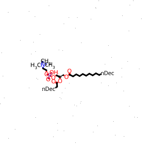 CCCCCCCCCCCCCCCCCCCC(=O)OC[C@H](COP(=O)(O)OCC[N+](C)(C)C)OC(=O)CCCCCCCCCCC